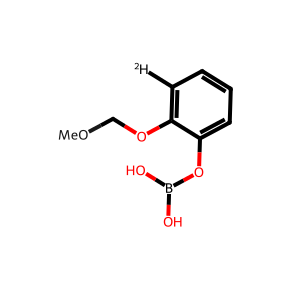 [2H]c1cccc(OB(O)O)c1OCOC